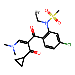 CC(C)CN(c1cc(Cl)ccc1C(=O)C(=CN(C)C)C(=O)C1CC1)S(C)(=O)=O